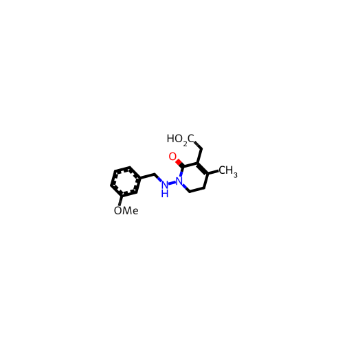 COc1cccc(CNN2CCC(C)=C(CC(=O)O)C2=O)c1